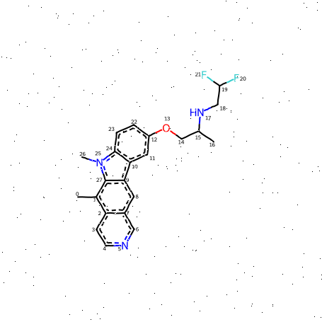 Cc1c2ccncc2cc2c3cc(OCC(C)NCC(F)F)ccc3n(C)c12